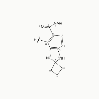 CNC(=O)c1ccc(NC2(C#N)CCC2)cc1C